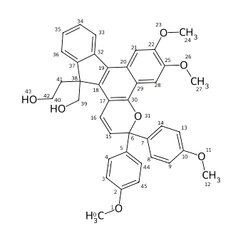 COc1ccc(C2(c3ccc(OC)cc3)C=Cc3c4c(c5cc(OC)c(OC)cc5c3O2)-c2ccccc2C4(CO)CCO)cc1